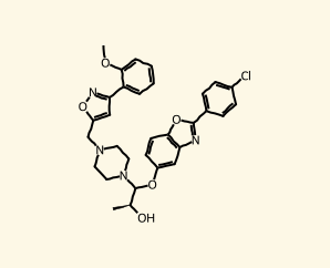 COc1ccccc1-c1cc(CN2CCN(C(Oc3ccc4oc(-c5ccc(Cl)cc5)nc4c3)[C@H](C)O)CC2)on1